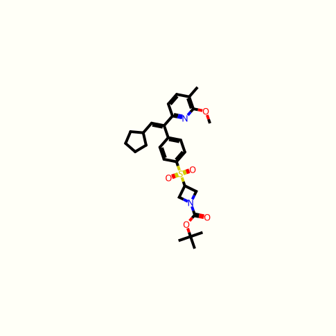 COc1nc(/C(=C/C2CCCC2)c2ccc(S(=O)(=O)C3CN(C(=O)OC(C)(C)C)C3)cc2)ccc1C